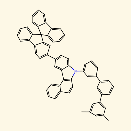 Cc1cc(C)cc(-c2cccc(-c3cccc(-n4c5ccc(-c6ccc7c(c6)C6(c8ccccc8-c8ccccc86)c6ccccc6-7)cc5c5c6ccccc6ccc54)c3)c2)c1